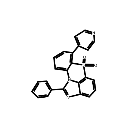 O=S1(=O)c2c(-c3ccncc3)cccc2-n2c(-c3ccccc3)nc3cccc1c32